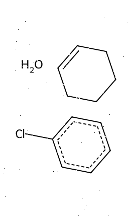 C1=CCCCC1.Clc1ccccc1.O